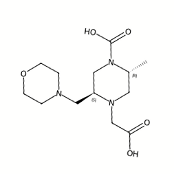 C[C@@H]1CN(CC(=O)O)[C@@H](CN2CCOCC2)CN1C(=O)O